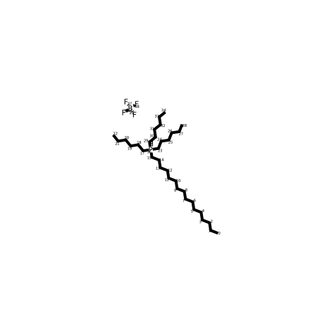 CCCCCCCCCCCCCCCC[PH](CCCCCC)(CCCCCC)CCCCCC.F[B-](F)(F)F